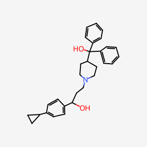 OC(CCN1CCC(C(O)(c2ccccc2)c2ccccc2)CC1)c1ccc(C2CC2)cc1